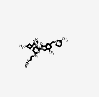 C[C@H]1CCCN(Cc2cc3c(c(C(F)(F)F)c2)CN(c2cc([C@]4(c5nncn5C)C[C@@H](C)C4)cc(NCCN=[N+]=[N-])n2)C3=O)C1